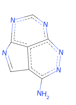 Nc1nnc2ncnc3c2c1C=N3